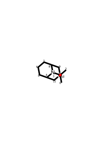 CC(C)N1C2CCCC1COC2